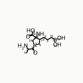 CC(N)C(=O)N1CC(CCCB(O)O)[C@@](N)(C(=O)O)C1